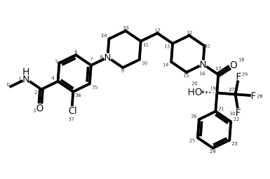 CNC(=O)c1ccc(N2CCC(CC3CCN(C(=O)[C@](O)(c4ccccc4)C(F)(F)F)CC3)CC2)cc1Cl